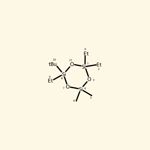 CC[Si]1(CC)O[Si](C)(C)O[Si](CC)(C(C)(C)C)O1